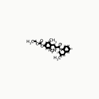 CCOC(=O)Oc1cc(C)c(C[C@@H](N)C(=O)N2CC(C)Cc3ccccc32)c(Cl)c1